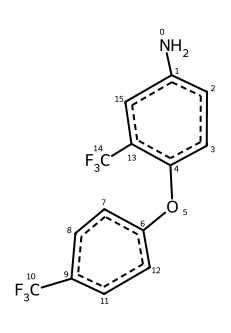 Nc1ccc(Oc2ccc(C(F)(F)F)cc2)c(C(F)(F)F)c1